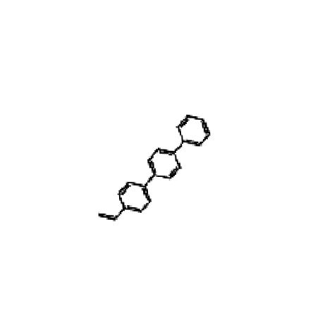 C=Cc1ccc(-c2ccc(-c3ccccc3)cc2)cc1